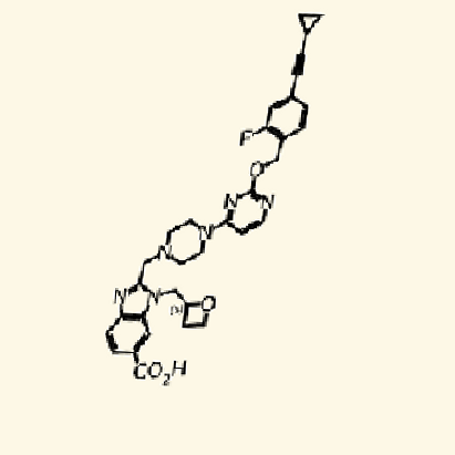 O=C(O)c1ccc2nc(CN3CCN(c4ccnc(OCc5ccc(C#CC6CC6)cc5F)n4)CC3)n(C[C@@H]3CCO3)c2c1